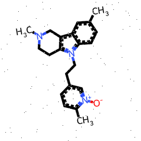 Cc1ccc2c(c1)c1c(n2CCc2ccc(C)[n+]([O-])c2)CCN(C)C1